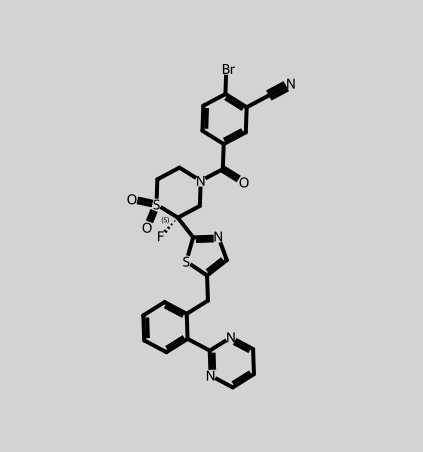 N#Cc1cc(C(=O)N2CCS(=O)(=O)[C@](F)(c3ncc(Cc4ccccc4-c4ncccn4)s3)C2)ccc1Br